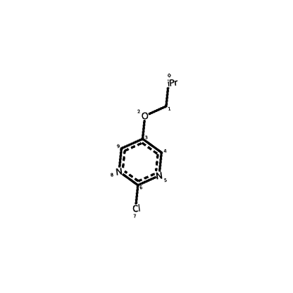 CC(C)COc1cnc(Cl)nc1